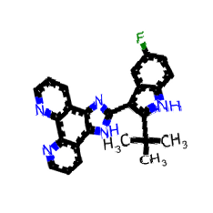 CC(C)(C)c1[nH]c2ccc(F)cc2c1-c1nc2c3cccnc3c3ncccc3c2[nH]1